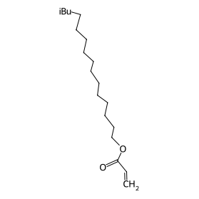 C=CC(=O)OCCCCCCCCCCCCC(C)CC